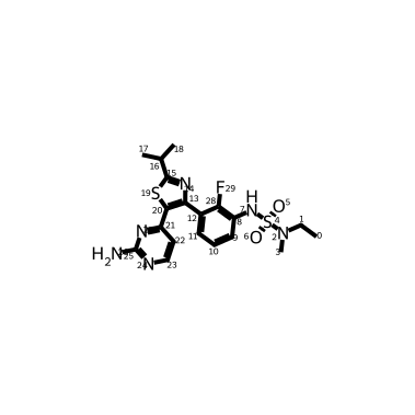 CCN(C)S(=O)(=O)Nc1cccc(-c2nc(C(C)C)sc2-c2ccnc(N)n2)c1F